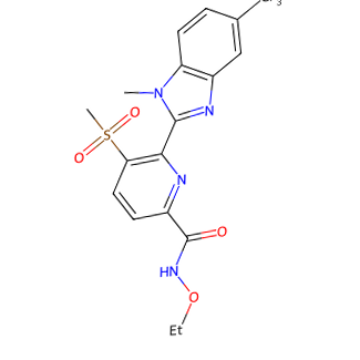 CCONC(=O)c1ccc(S(C)(=O)=O)c(-c2nc3cc(C(F)(F)F)ccc3n2C)n1